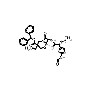 C=CC1(C(=O)OC(c2ccccc2)c2ccccc2)CS[C@@H]2C(NC(=O)C(=NOC)c3cnc(NC=O)s3)C(=O)N2C1